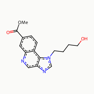 COC(=O)c1ccc2c(c1)ncc1ncn(CCCCO)c12